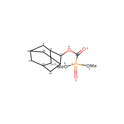 COP(=O)(OC)C(=O)OC1C2CC3CC(C2)CC1C3